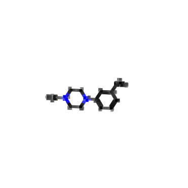 [CH2]N1CCN(c2cccc(OC)c2)CC1